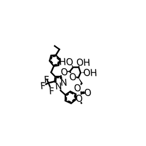 CCc1ccc(Cc2c(O[C@@H]3O[C@H](COC(=O)OC)[C@@H](O)[C@H](O)[C@H]3O)nn(Cc3ccccc3)c2C(F)(F)F)cc1